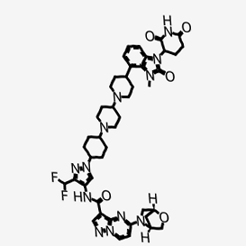 Cn1c(=O)n(C2CCC(=O)NC2=O)c2cccc(C3CCN(C4CCN(C5CCC(n6cc(NC(=O)c7cnn8ccc(N9C[C@H]%10C[C@@H]9CO%10)nc78)c(C(F)F)n6)CC5)CC4)CC3)c21